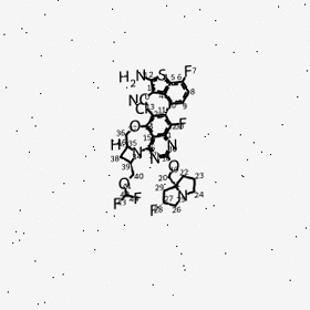 N#Cc1c(N)sc2c(F)ccc(-c3c(Cl)c4c5c(nc(OC[C@@]67CCCN6C[C@H](F)C7)nc5c3F)N3[C@H](CO4)C[C@@H]3COC(F)F)c12